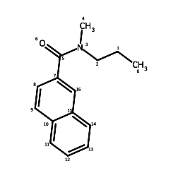 CCCN(C)C(=O)c1ccc2ccccc2c1